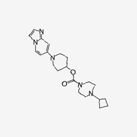 O=C(OC1CCN(c2ccn3ccnc3c2)CC1)N1CCN(C2CCC2)CC1